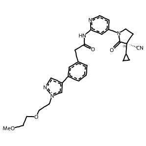 COCCOCCn1cc(-c2cccc(CC(=O)Nc3cc(N4CC[C@@](C#N)(C5CC5)C4=O)ccn3)c2)cn1